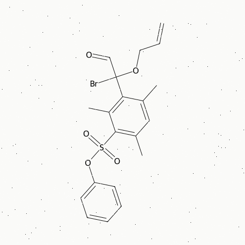 C=CCOC(Br)(C=O)c1c(C)cc(C)c(S(=O)(=O)Oc2ccccc2)c1C